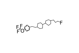 FCCCC1CCC(C2CCC(CCc3ccc(OC(F)(F)F)cc3)CC2)CC1